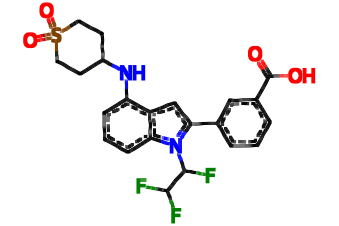 O=C(O)c1cccc(-c2cc3c(NC4CCS(=O)(=O)CC4)cccc3n2C(F)C(F)F)c1